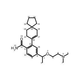 CC(OCCN(C)C)c1ccc(C(N)=O)c(C2=CCC3(CCCC3)CC2)c1